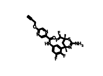 C#CCOc1cnc(C(=O)Nc2cc(F)c(F)c([C@]3(C)C[C@](C)(C(F)F)SC(N)=N3)c2)cn1